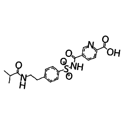 CC(C)C(=O)NCCc1ccc(S(=O)(=O)NC(=O)c2ccc(C(=O)O)nc2)cc1